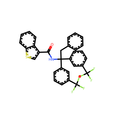 O=C(NC(Cc1ccccc1)(c1cccc(C(F)(F)F)c1)c1cccc(C(F)(F)F)c1)c1csc2ccccc12